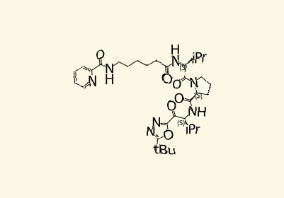 CC(C)[C@H](NC(=O)[C@@H]1CCCN1C(=O)[C@@H](NC(=O)CCCCCNC(=O)c1ccccn1)C(C)C)C(=O)c1nnc(C(C)(C)C)o1